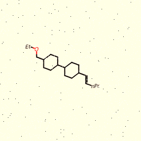 CCCC=CC1CCC(C2CCC(COCC)CC2)CC1